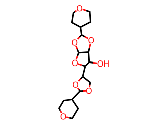 OC1C(C2COC(C3CCOCC3)O2)OC2OC(C3CCOCC3)OC21